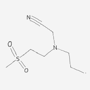 [CH2]CCN(CC#N)CCS(C)(=O)=O